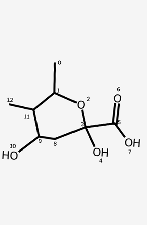 CC1OC(O)(C(=O)O)CC(O)C1C